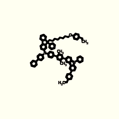 C=Cc1ccc(OCCCCCCCCC2(c3ccccc3)c3ccccc3-c3ccc(N(c4ccc(-c5ccccc5)cc4)c4ccc(-c5cc(C)c(-c6ccc7c(c6)c6cc(-c8ccc(C=C)cc8)ccc6n7-c6ccccc6)cc5C)cc4)cc32)cc1